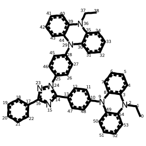 CCN1c2ccccc2N(c2ccc(-c3nc(-c4ccccc4)nn3-c3ccc(N4c5ccccc5N(CC)c5ccccc54)cc3)cc2)c2ccccc21